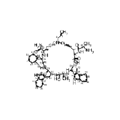 C=CCN1CC#CCC(NC(=O)[C@H](C)N)C(=O)N[C@H](Cc2c[nH]c3ccccc23)C(=O)N[C@@H](C)C(=O)N[C@@H](Cc2c[nH]c3ccccc23)C(=O)N[C@H](Cc2ccccc2)C(=O)NC(C(N)=O)CCC1